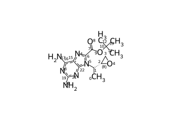 CC([C@@H]1CO1)n1c(C(=O)OC(C)(C)C)nc2c(N)nc(N)nc21